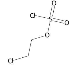 O=S(=O)(Cl)OCCCl